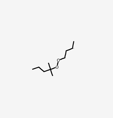 C[CH]CCOOC(C)(C)CCC